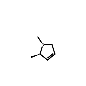 C[C@@H]1C=CCN1C